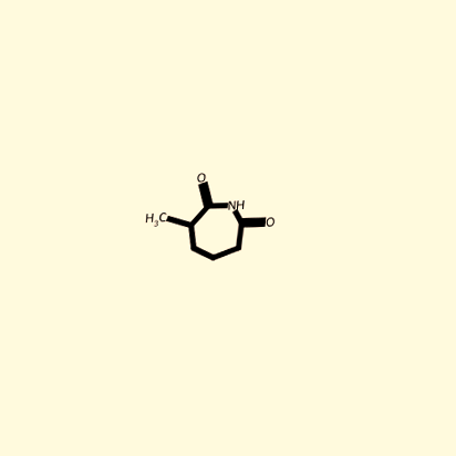 CC1CCCC(=O)NC1=O